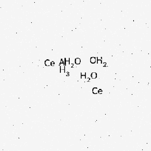 O.O.O.[AlH3].[Ce].[Ce]